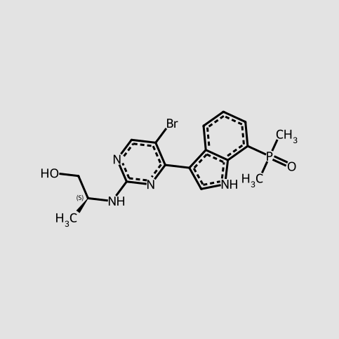 C[C@@H](CO)Nc1ncc(Br)c(-c2c[nH]c3c(P(C)(C)=O)cccc23)n1